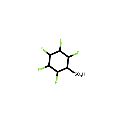 O=S(=O)(O)C1C(F)C(F)C(F)C(F)C1F